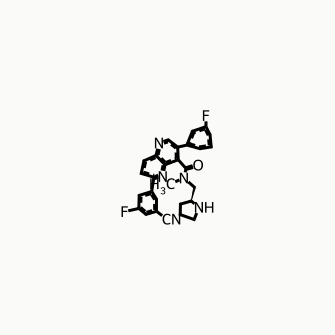 CN(C[C@@H]1CCCN1)C(=O)c1c(-c2cccc(F)c2)cnc2ccc(-c3cc(F)cc(C#N)c3)nc12